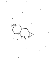 CN1CCNCC1CC1CO1